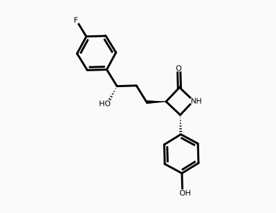 O=C1N[C@H](c2ccc(O)cc2)[C@H]1CC[C@H](O)c1ccc(F)cc1